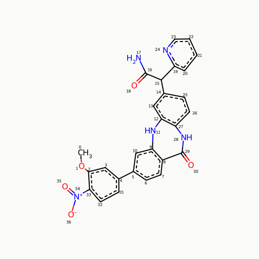 COc1cc(-c2ccc3c(c2)Nc2cc(C(C(N)=O)c4ccccn4)ccc2NC3=O)ccc1[N+](=O)[O-]